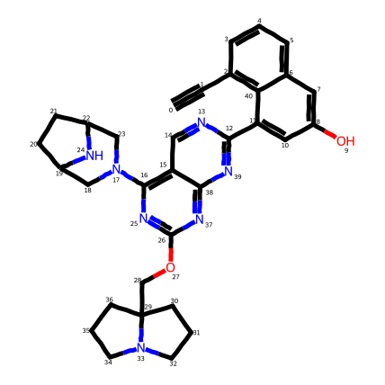 C#Cc1cccc2cc(O)cc(-c3ncc4c(N5CC6CCC(C5)N6)nc(OCC56CCCN5CCC6)nc4n3)c12